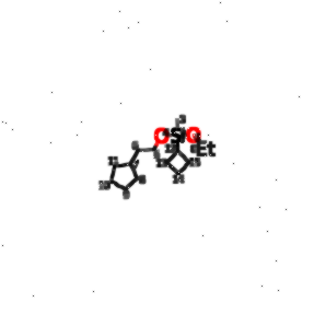 CCO[Si](C)(OCCC1CCCC1)C1CCC1